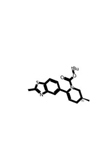 Cc1nc2cc(C3=CC[C@H](C)CN3C(=O)OC(C)(C)C)ccc2s1